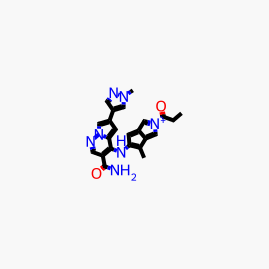 CCC(=O)[N+]1=CC2=CC(Nc3c(C(N)=O)cnn4cc(-c5cnn(C)c5)cc34)=C(C)C2=C1